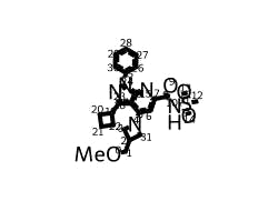 COCC1CN(c2cc(C(=O)NS(C)(=O)=O)nc3c2c(C2CCC2)nn3-c2ccccc2)C1